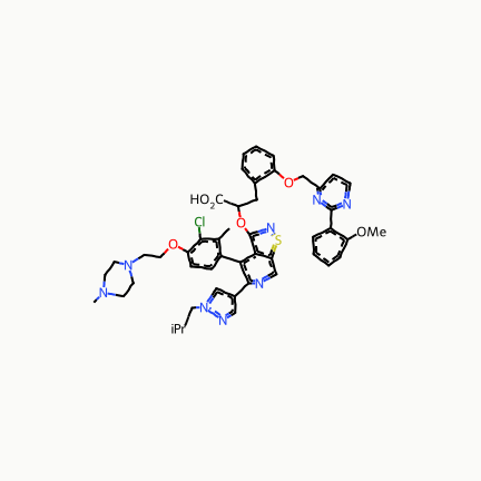 COc1ccccc1-c1nccc(COc2ccccc2CC(Oc2nsc3cnc(-c4cnn(CC(C)C)c4)c(-c4ccc(OCCN5CCN(C)CC5)c(Cl)c4C)c23)C(=O)O)n1